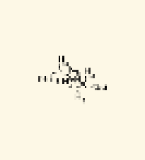 CC(C)(C)CC(C)(C)c1cn(C(C)(C)CC(C)(C)C)nn1